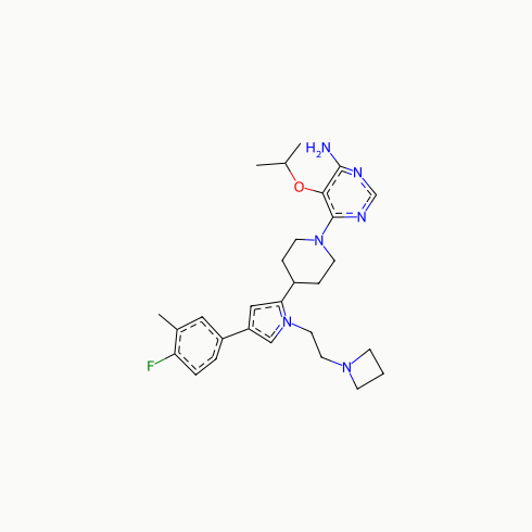 Cc1cc(-c2cc(C3CCN(c4ncnc(N)c4OC(C)C)CC3)n(CCN3CCC3)c2)ccc1F